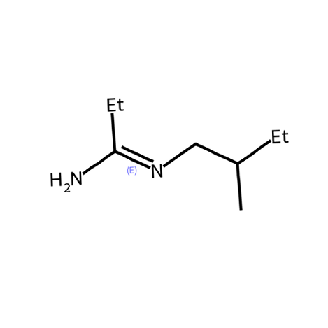 CC/C(N)=N\CC(C)CC